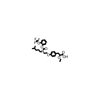 CCOC(Cc1ccc(OCCN(CCCC(C)C)C(=O)Oc2ccccc2OC(F)(F)F)cc1)C(=O)O